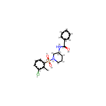 Cc1c(Cl)cccc1S(=O)(=O)N1CCC[C@H](NC(=O)c2ccccc2)C1